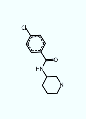 O=C(NC1CCC[N]C1)c1ccc(Cl)cc1